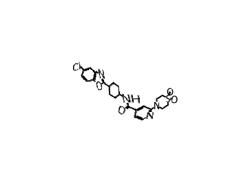 O=C(NC1CCC(c2nc3cc(Cl)ccc3o2)CC1)c1ccnc(N2CCS(=O)(=O)CC2)c1